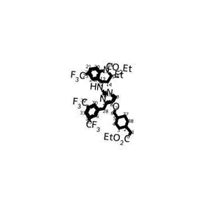 CCOC(=O)CC1CCC(COc2cnc(N[C@H]3C[C@@H](CC)N(C(=O)OCC)c4ccc(C(F)(F)F)cc43)nc2Cc2cc(C(F)(F)F)cc(C(F)(F)F)c2)CC1